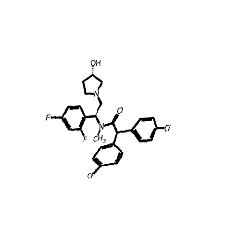 CN(C(=O)C(c1ccc(Cl)cc1)c1ccc(Cl)cc1)[C@H](CN1CC[C@H](O)C1)c1ccc(F)cc1F